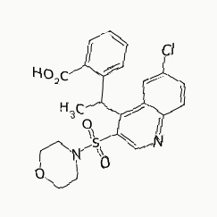 CC(c1ccccc1C(=O)O)c1c(S(=O)(=O)N2CCOCC2)cnc2ccc(Cl)cc12